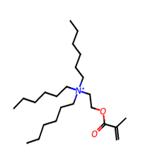 C=C(C)C(=O)OCC[N+](CCCCCC)(CCCCCC)CCCCCC